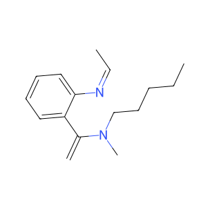 C=C(c1ccccc1/N=C\C)N(C)CCCCC